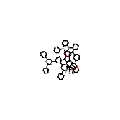 CC1(C)c2ccccc2-c2cc3c4ccccc4n(-c4ccc(-c5cc(-c6ccccc6)nc(-c6ccccc6)n5)cc4-c4nc(-c5ccccc5)nc(-c5cccc(-c6cccc(N7c8ccccc8B8c9ccccc9N(c9ccccc9)c9cccc7c98)c6)c5)n4)c3cc21